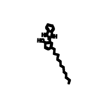 CCCCCCCCCCCCc1ccc(O)c(N2Nc3ccccc3N2)c1